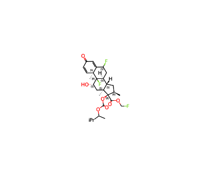 CC(C)C(C)OC(=O)O[C@]1(C(=O)OCF)[C@H](C)C[C@H]2[C@@H]3C[C@H](F)C4=CC(=O)C=C[C@]4(C)[C@@]3(F)[C@@H](O)C[C@@]21C